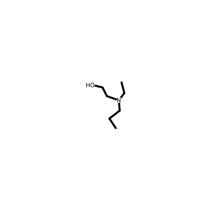 [CH2]CCN(CC)CCO